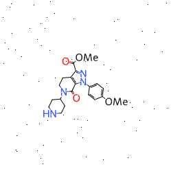 COC(=O)c1nn(-c2ccc(OC)cc2)c2c1CCN(C1CCNCC1)C2=O